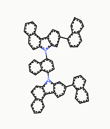 c1ccc2c(-c3ccc4c5c6ccccc6ccc5n(-c5ccc(-n6c7cc(-c8cccc9ccccc89)ccc7c7c8ccccc8ccc76)c6ccccc56)c4c3)cccc2c1